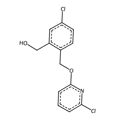 OCc1cc(Cl)ccc1COc1cccc(Cl)n1